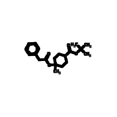 CC(C)(C)OC(=O)N1CCC(C)(OC(=O)Cc2ccccc2)CC1